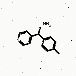 Cc1ccc(C(C)c2ccncc2)cc1.N